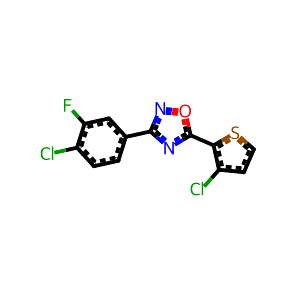 Fc1cc(-c2noc(-c3sccc3Cl)n2)ccc1Cl